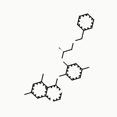 Cc1cc(Br)cc2ncnc(Nc3ccc(F)cc3O[C@H](COCc3ccccc3)C(=O)O)c12